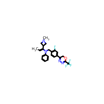 C/C=C(\C1CN(C)C1)N(Cc1ccc(C2=NN=C(C(F)(F)F)OC2)cc1F)c1ccccc1